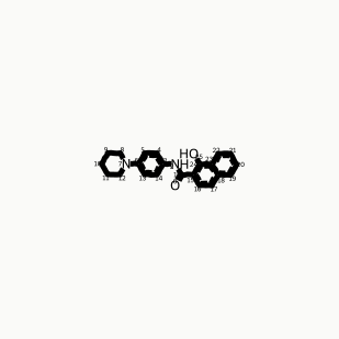 O=C(Nc1ccc(N2CCCCC2)cc1)c1ccc2ccccc2c1O